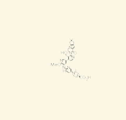 COc1ncc(-c2ccnc(N3CCn4c(cc5c4CC(C)(C)C5)C3=O)c2CO)cc1Nc1ccc(N2CCN(C(=O)O)C[C@@H]2C)cn1